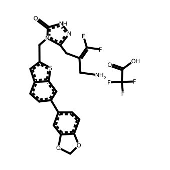 NCC(Cc1n[nH]c(=O)n1Cc1cc2ccc(-c3ccc4c(c3)OCO4)cc2s1)=C(F)F.O=C(O)C(F)(F)F